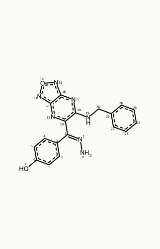 N/N=C(\c1ccc(O)cc1)c1nc2nonc2nc1NCc1ccccc1